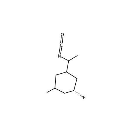 CC1CC(C(C)N=C=O)C[C@H](F)C1